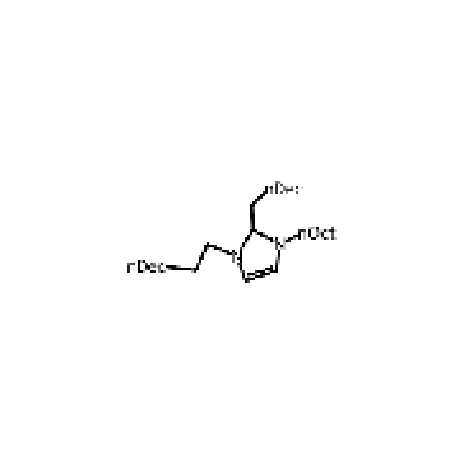 CCCCCCCCCCCCN1C=CN(CCCCCCCC)C1CCCCCCCCCCC